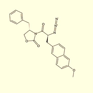 COc1ccc2cc(C[C@H](N=[N+]=[N-])C(=O)N3C(=O)OC[C@@H]3Cc3ccccc3)ccc2c1